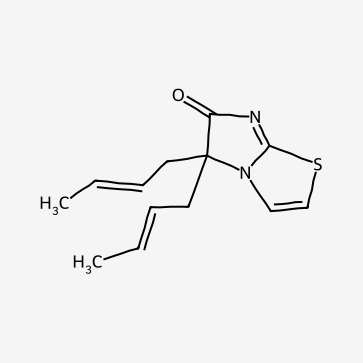 CC=CCC1(CC=CC)C(=O)N=C2SC=CN21